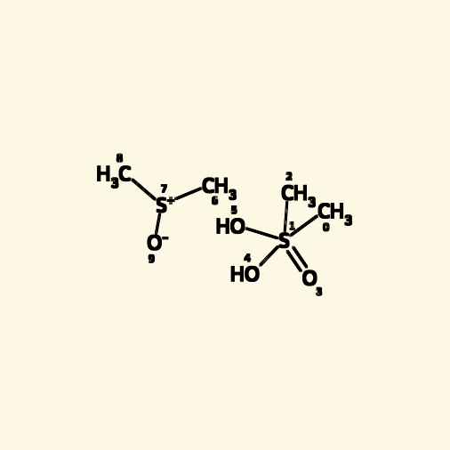 CS(C)(=O)(O)O.C[S+](C)[O-]